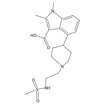 Cc1c(C(=O)O)c2c(C3CCN(CCNS(C)(=O)=O)CC3)cccc2n1C